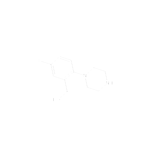 OCc1cc(F)ccc1N1CCNCC1